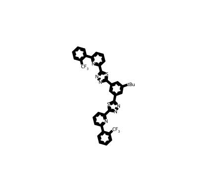 CC(C)(C)c1cc(-c2nnc(-c3cccc(-c4ccccc4C(F)(F)F)n3)s2)cc(-c2nnc(-c3cccc(-c4ccccc4C(F)(F)F)n3)s2)c1